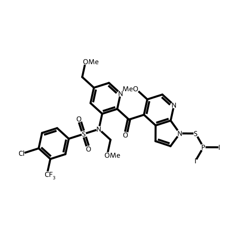 COCc1cnc(C(=O)c2c(OC)cnc3c2ccn3SP(I)I)c(N(COC)S(=O)(=O)c2ccc(Cl)c(C(F)(F)F)c2)c1